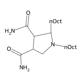 CCCCCCCCC1C(C(N)=O)C(C(N)=O)CN1CCCCCCCC